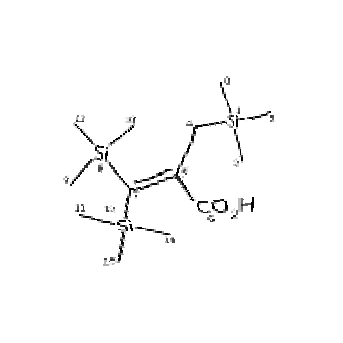 C[Si](C)(C)CC(C(=O)O)=C([Si](C)(C)C)[Si](C)(C)C